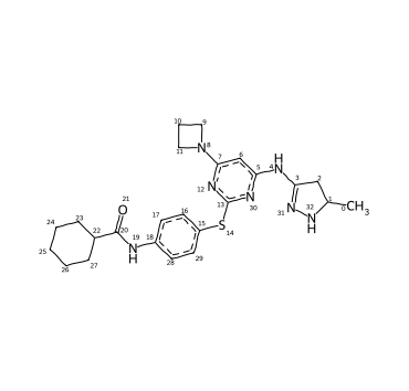 CC1CC(Nc2cc(N3CCC3)nc(Sc3ccc(NC(=O)C4CCCCC4)cc3)n2)=NN1